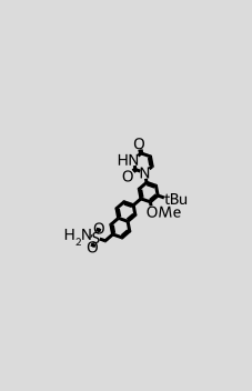 COc1c(-c2ccc3cc(CS(N)(=O)=O)ccc3c2)cc(-n2ccc(=O)[nH]c2=O)cc1C(C)(C)C